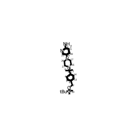 CC(C)(c1ccc(CO[Si](C)(C)C(C)(C)C)cc1)N1CCN(c2ccc(N)nc2)CC1